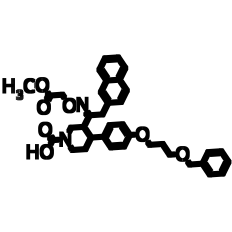 COC(=O)CO/N=C(/Cc1ccc2ccccc2c1)C1CN(C(=O)O)CCC1c1ccc(OCCCOCc2ccccc2)cc1